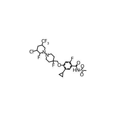 CS(=O)(=O)NC(=O)c1cc(C2CC2)c(OCC2(F)CCN(N3CC(C(F)(F)F)CC(Cl)C3F)CC2)cc1F